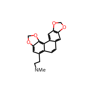 CNCCc1cc2c(c3c1ccc1cc4c(cc13)OCO4)OCO2